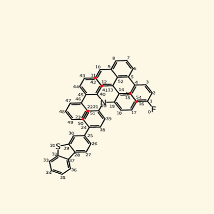 Fc1ccc(-c2cccc3cccc(-c4ccccc4N(c4ccc(-c5ccc6c(c5)sc5ccccc56)cc4)c4ccccc4-c4ccccc4)c23)cc1